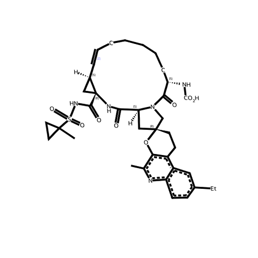 CCc1ccc2nc(C)c3c(c2c1)CC[C@]1(C[C@H]2C(=O)N[C@]4(C(=O)NS(=O)(=O)C5(C)CC5)C[C@H]4/C=C\CCCCC[C@H](NC(=O)O)C(=O)N2C1)O3